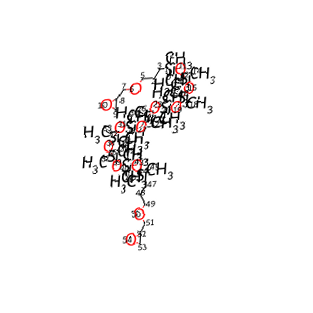 C[Si](C)(CCCOCC1CO1)O[Si](C)(C)O[Si](C)(C)O[Si](C)(C)O[Si](C)(C)O[Si](C)(C)O[Si](C)(C)O[Si](C)(C)O[Si](C)(C)O[Si](C)(C)CCCOCC1CO1